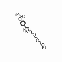 CCOCCOCCOCCn1cc(-c2ccc(OC(=O)C(C)C)cc2)nn1